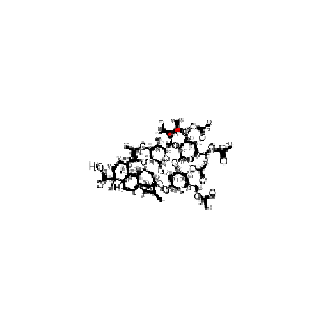 C=C1C[C@@]23CC[C@H]4[C@@](C)(CCC[C@@]4(C)C(=O)O)[C@@H]2CC[C@]1(O[C@@H]1O[C@H](COC(C)=O)[C@@H](OC(C)=O)[C@H](O[C@@H]2O[C@H](COC(C)=O)[C@@H](OC(C)=O)[C@H](OC(C)=O)[C@H]2O)[C@H]1O[C@@H]1O[C@H](COC(C)=O)[C@@H](OC(C)=O)[C@H](OC(C)=O)[C@H]1OC(C)=O)C3